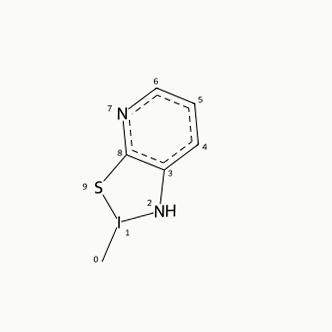 CI1Nc2cccnc2S1